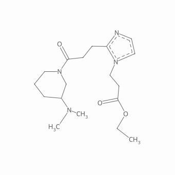 CCOC(=O)CCn1ccnc1CCC(=O)N1CCCC(N(C)C)C1